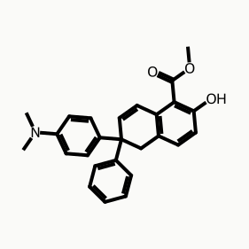 COC(=O)c1c(O)ccc2c1C=CC(c1ccccc1)(c1ccc(N(C)C)cc1)C2